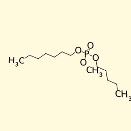 CCCCCCCOP(=O)(OC)OCCCCC